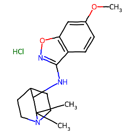 COc1ccc2c(NC3C4CCN(CC4)C3(C)C)noc2c1.Cl